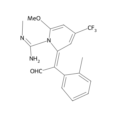 C/N=C(/N)N1C(OC)=CC(C(F)(F)F)=C/C1=C(/C=O)c1ccccc1C